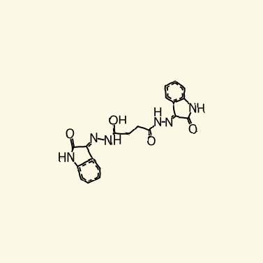 O=C(CCC(O)N/N=C1/C(=O)Nc2ccccc21)N/N=C1/C(=O)Nc2ccccc21